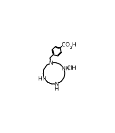 Cl.O=C(O)c1ccc(CN2CCCNCCNCCCNCC2)cc1